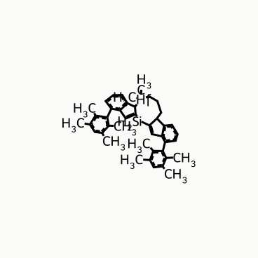 Cc1cc(C)c(C)c(-c2cccc3c2C=C2[SiH2]C4=Cc5c(-c6c(C)c(C)cc(C)c6C)cccc5[CH]4[Hf]([CH3])([CH3])[CH2]CCC23)c1C